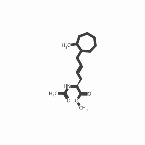 COC(=O)[C@H](CC=CCC1CCCCCC1C)NC(C)=O